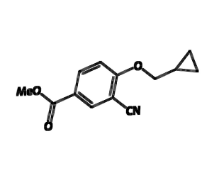 COC(=O)c1ccc(OCC2CC2)c(C#N)c1